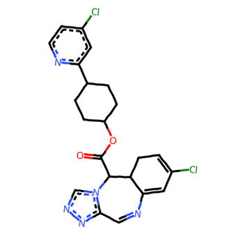 O=C(OC1CCC(c2cc(Cl)ccn2)CC1)C1C2CC=C(Cl)C=C2N=Cc2nncn21